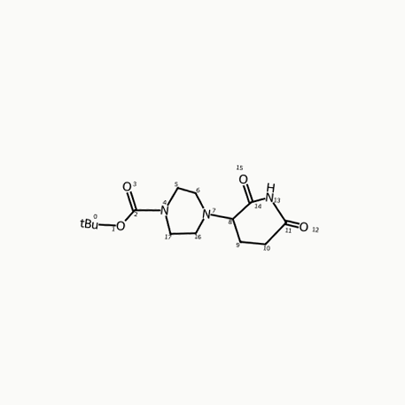 CC(C)(C)OC(=O)N1CCN(C2CCC(=O)NC2=O)CC1